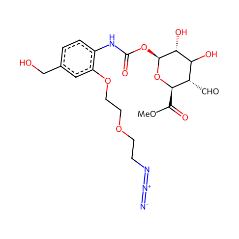 COC(=O)[C@H]1O[C@@H](OC(=O)Nc2ccc(CO)cc2OCCOCCN=[N+]=[N-])[C@H](O)C(O)[C@@H]1C=O